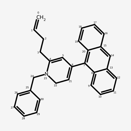 C=CCCC1=CC(c2c3ccccc3cc3ccccc23)=CCN1Cc1ccccc1